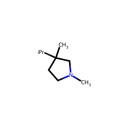 CC(C)C1(C)CCN(C)C1